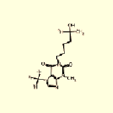 [2H]C(C)(O)CCCCn1c(=O)c2c(ncn2C([2H])([2H])[2H])n(C)c1=O